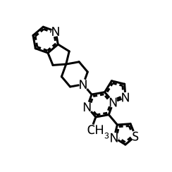 Cc1nc(N2CCC3(CC2)Cc2cccnc2C3)c2ccnn2c1-c1cscn1